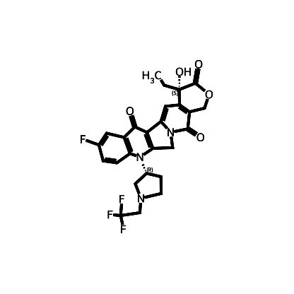 CC[C@@]1(O)C(=O)OCc2c1cc1n(c2=O)Cc2c-1c(=O)c1cc(F)ccc1n2[C@@H]1CCN(CC(F)(F)F)C1